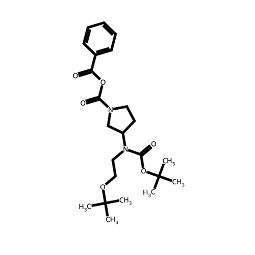 CC(C)(C)OCCN(C(=O)OC(C)(C)C)C1CCN(C(=O)OC(=O)c2ccccc2)C1